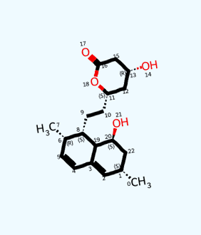 C[C@@H]1C=C2C=C[C@H](C)[C@H](CC[C@H]3C[C@@H](O)CC(=O)O3)C2[C@@H](O)C1